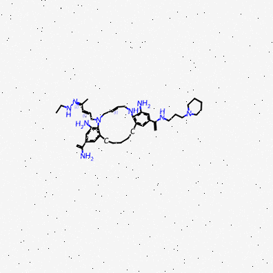 C=C(N)c1cc(N)c2c(c1)CCCCCc1cc(C(=C)NCCCN3CCCCC3)cc(N)c1NC/C=C/CN2C/C=C/C(C)=N\NCC